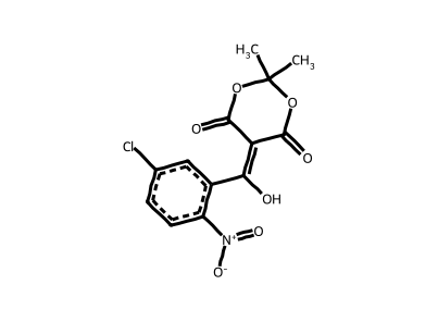 CC1(C)OC(=O)C(=C(O)c2cc(Cl)ccc2[N+](=O)[O-])C(=O)O1